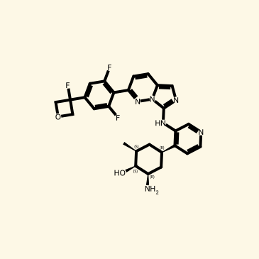 C[C@H]1C[C@@H](c2ccncc2Nc2ncc3ccc(-c4c(F)cc(C5(F)COC5)cc4F)nn23)C[C@@H](N)[C@H]1O